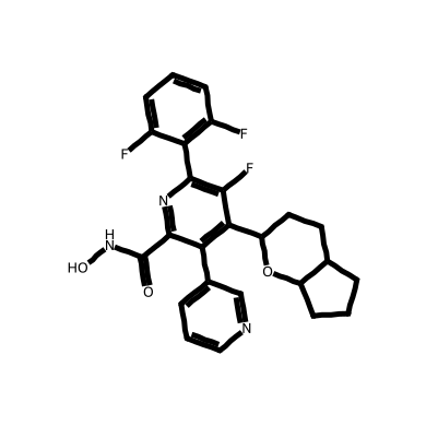 O=C(NO)c1nc(-c2c(F)cccc2F)c(F)c(C2CCC3CCCC3O2)c1-c1cccnc1